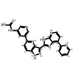 CC(C)C(=O)Nc1cncc(-c2ccc3[nH]nc(-c4nc5c(-c6ccccn6)ccnc5[nH]4)c3n2)c1